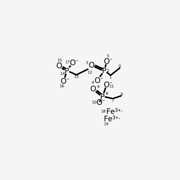 CCP(=O)([O-])[O-].CCP(=O)([O-])[O-].CCP(=O)([O-])[O-].[Fe+3].[Fe+3]